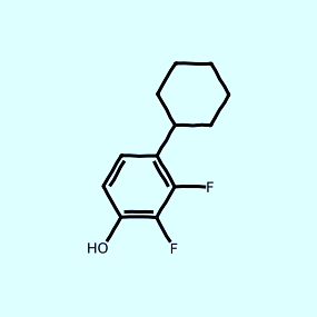 Oc1ccc(C2CCCCC2)c(F)c1F